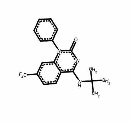 BC(B)(B)Nc1nc(=O)n(-c2ccccc2)c2cc(C(F)(F)F)ccc12